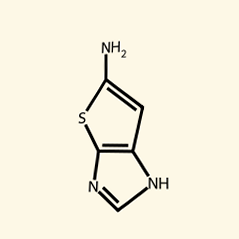 Nc1cc2[nH]cnc2s1